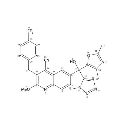 COc1nc2ccc(C(O)(c3oc(C)nc3C)c3cnnn3C)cc2c(C#N)c1Cc1ccc(C(F)(F)F)cc1